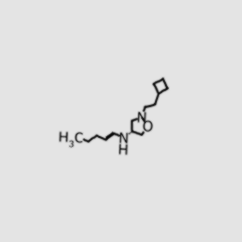 CCC/C=C/N[C@H]1CON(CCC2CCC2)C1